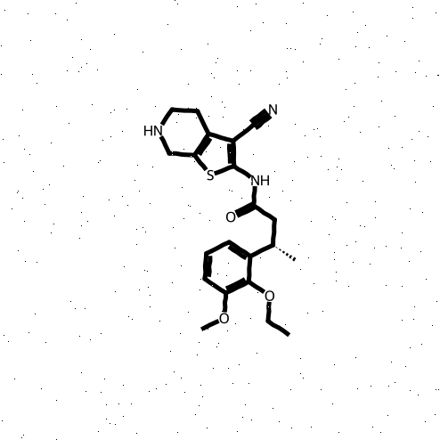 CCOc1c(OC)cccc1[C@@H](C)CC(=O)Nc1sc2c(c1C#N)CCNC2